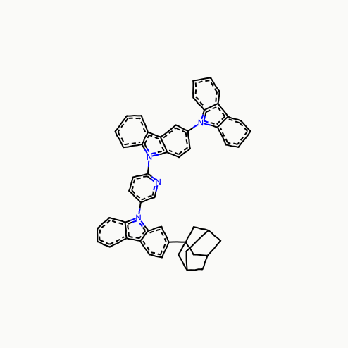 c1ccc2c(c1)c1ccccc1n2-c1ccc2c(c1)c1ccccc1n2-c1ccc(-n2c3ccccc3c3ccc(C45CC6CC(CC(C6)C4)C5)cc32)cn1